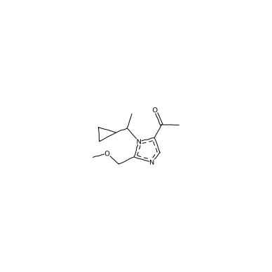 COCc1ncc(C(C)=O)n1C(C)C1CC1